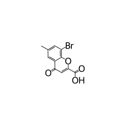 Cc1cc(Br)c2oc(C(=O)O)cc(=O)c2c1